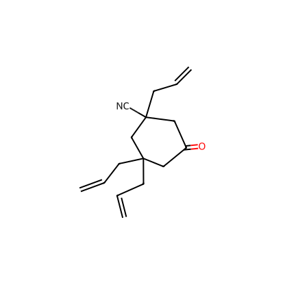 C=CCC1(C#N)CC(=O)CC(CC=C)(CC=C)C1